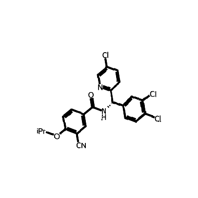 CC(C)Oc1ccc(C(=O)N[C@@H](c2ccc(Cl)c(Cl)c2)c2ccc(Cl)cn2)cc1C#N